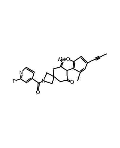 CC#Cc1cc(C)c(C2C(=O)CC3(CC2=O)CN(C(=O)c2ccnc(F)c2)C3)c(OC)c1